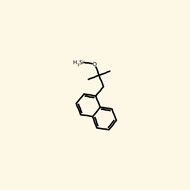 CC(C)(Cc1cccc2ccccc12)O[SiH3]